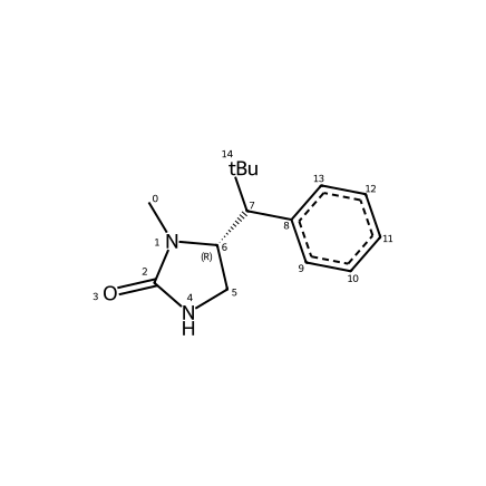 CN1C(=O)NC[C@H]1C(c1ccccc1)C(C)(C)C